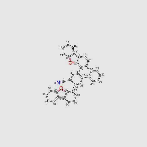 N#Cc1cc(-c2cccc3c2oc2ccccc23)c(-c2ccccc2)cc1-c1cccc2c1oc1ccccc12